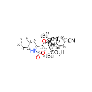 CC(C)(C)OC(=O)NC(CC1CCCCC1)C(CC(Cc1ccc(C#N)cc1)C(=O)O)O[Si](C)(C)C(C)(C)C